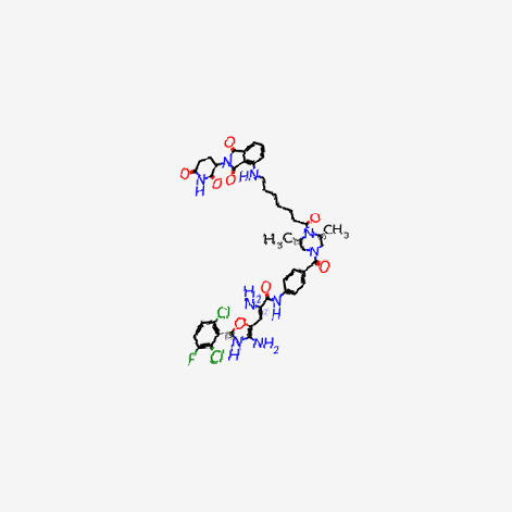 C[C@@H]1CN(C(=O)c2ccc(NC(=O)/C(N)=C/C3=C(N)N[C@H](c4c(Cl)ccc(F)c4Cl)O3)cc2)C[C@H](C)N1C(=O)CCCCCCNc1cccc2c1C(=O)N(C1CCC(=O)NC1=O)C2=O